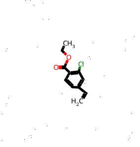 C=Cc1ccc(C(=O)OCC)c(Cl)c1